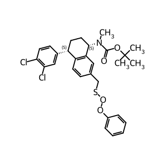 CN(C(=O)OC(C)(C)C)[C@H]1CC[C@@H](c2ccc(Cl)c(Cl)c2)c2ccc(CSOOc3ccccc3)cc21